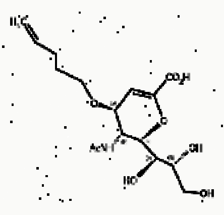 C=CCCCO[C@H]1C=C(C(=O)O)O[C@@H]([C@H](O)[C@H](O)CO)[C@@H]1NC(C)=O